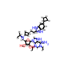 CCN1CN(CC)C2C(NCN2[C@@H]2O[C@H](CN(C(C)C)[C@H]3C[C@H](CCC4Nc5ccc(C6CCC6)cc5N4)C3)[C@@H](O)[C@H]2O)C1N